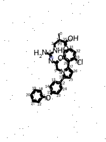 C[C@H](CN/C(N)=N\C(=O)Cn1c(-c2ccc(Oc3ccccc3)cc2)ccc1-c1ccccc1Cl)C(=O)O